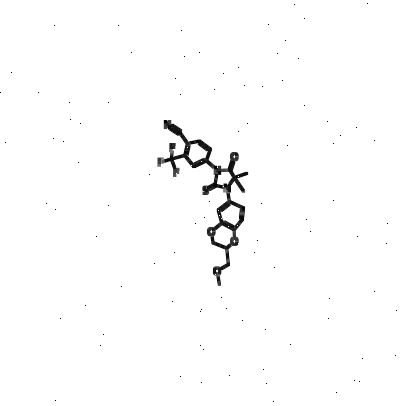 COCC1COc2cc(N3C(=S)N(c4ccc(C#N)c(C(F)(F)F)c4)C(=O)C3(C)C)ccc2O1